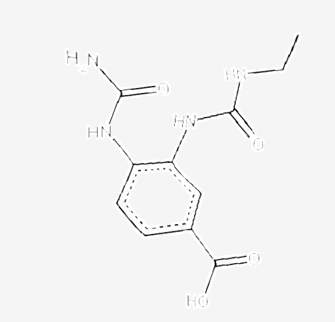 CCNC(=O)Nc1cc(C(=O)O)ccc1NC(N)=O